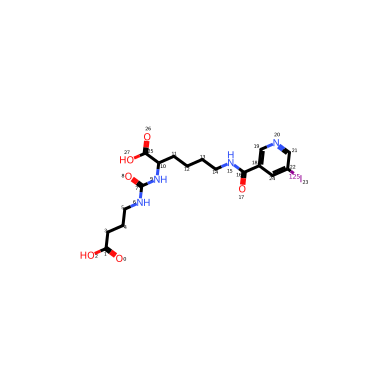 O=C(O)CCCNC(=O)NC(CCCCNC(=O)c1cncc([125I])c1)C(=O)O